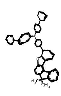 CC1(C)c2ccccc2-c2c1ccc1c2C2=CC=CC(c3ccc(N(c4ccc(-c5ccccc5)cc4)c4ccc(C5C=CC=CC5)cc4)cc3)C2O1